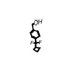 OCc1ccc(C(F)(F)C2CCC2)cc1